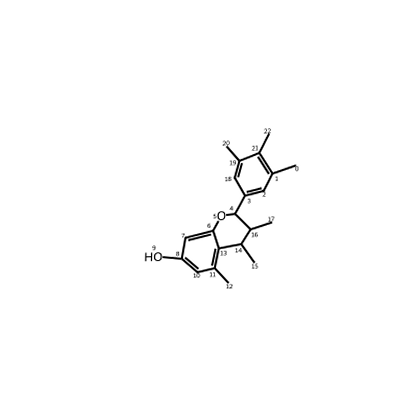 Cc1cc(C2Oc3cc(O)cc(C)c3C(C)C2C)cc(C)c1C